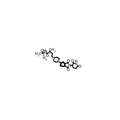 CN(CCN1CCN(c2ccc3c(c2)C(=O)N(C2CCC(=O)NC2=O)C3=O)CC1)C(=O)OC(C)(C)C